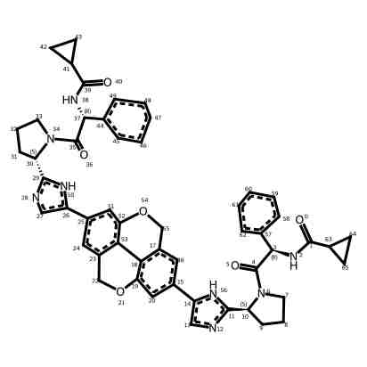 O=C(N[C@@H](C(=O)N1CCC[C@H]1c1ncc(-c2cc3c4c(c2)OCc2cc(-c5cnc([C@@H]6CCCN6C(=O)[C@H](NC(=O)C6CC6)c6ccccc6)[nH]5)cc(c2-4)OC3)[nH]1)c1ccccc1)C1CC1